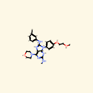 CNc1nc(N2CCOCC2)c2nc(Nc3cccc(C)c3)n(-c3ccc(OCCOC)cc3)c2n1